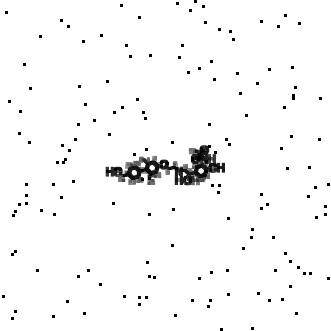 Cc1cc(OCCNC[C@H](O)c2ccc(O)c(NS(C)(=O)=O)c2)cc(C)c1-c1ccc(CO)cc1